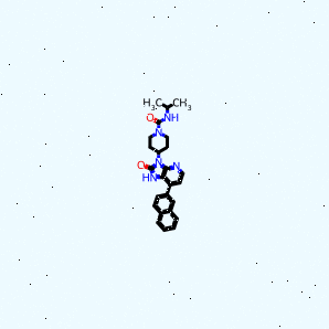 CC(C)NC(=O)N1CCC(n2c(=O)[nH]c3c(-c4ccc5ccccc5c4)ccnc32)CC1